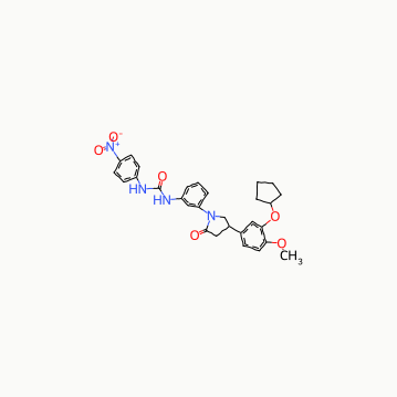 COc1ccc(C2CC(=O)N(c3cccc(NC(=O)Nc4ccc([N+](=O)[O-])cc4)c3)C2)cc1OC1CCCC1